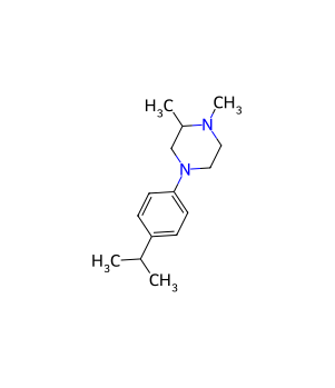 CC(C)c1ccc(N2CCN(C)C(C)C2)cc1